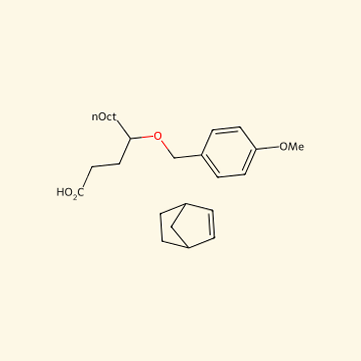 C1=CC2CCC1C2.CCCCCCCCC(CCC(=O)O)OCc1ccc(OC)cc1